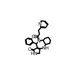 Cc1ccccc1C1C2=C(CNC2=O)NC2CCCCC2N1C(=O)CCc1ccccn1